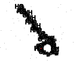 C/C=C\C(=O)C(CO)CCNC(=O)CCNC(=O)CNC(=O)CNC(=O)CNC(=O)CCCN1C(=O)CC(SCCC(=O)N(C)C(C)C(=O)OC2CC(=O)N(C)c3cc(cc(OC)c3Cl)C/C(C)=C/C=C/C(OC)C3(O)CC(OC(=O)N3)C(C)C3OC23C)C1=O